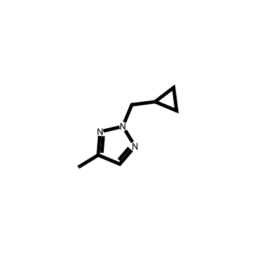 Cc1cnn(CC2CC2)n1